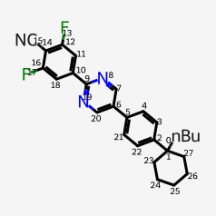 CCCCC1(c2ccc(-c3cnc(-c4cc(F)c(C#N)c(F)c4)nc3)cc2)CCCCC1